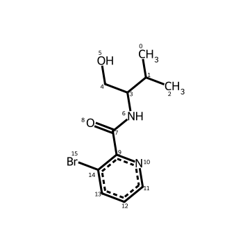 CC(C)C(CO)NC(=O)c1ncccc1Br